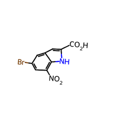 O=C(O)c1cc2cc(Br)cc([N+](=O)[O-])c2[nH]1